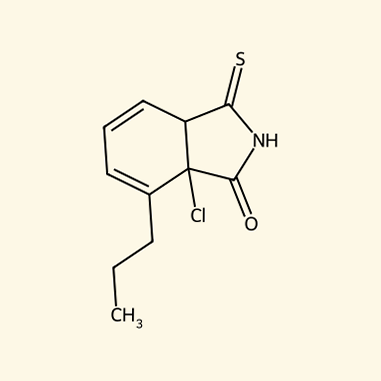 CCCC1=CC=CC2C(=S)NC(=O)C12Cl